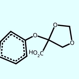 O=C(O)C1(Oc2ccccc2)COCO1